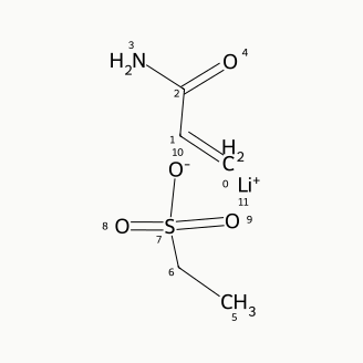 C=CC(N)=O.CCS(=O)(=O)[O-].[Li+]